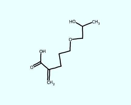 C=C(CCCOCC(C)O)C(=O)O